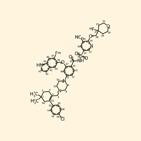 CC1(C)CCC(CN2CCN(c3ccc(C(=O)NS(=O)(=O)c4cnc(OCC5(F)CCOCC5)c(C#N)c4)c(Oc4cc5cc[nH]c5cc4F)c3)CC2)=C(c2ccc(Cl)cc2)C1